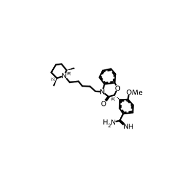 COc1ccc(C(=N)N)cc1[C@H]1Oc2ccccc2N(CCCCCN2[C@H](C)CCC[C@@H]2C)C1=O